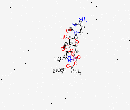 CCOC(=O)OC(C)OP(=O)(N[C@@H](C)C(=O)OC(C)C)OC[C@H]1OC(n2ccc(N)nc2=O)C(O)[C@H]1O